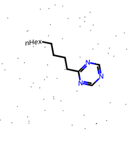 CCCCCCCCC[CH]c1ncncn1